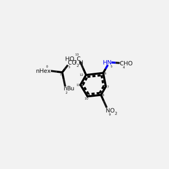 CCCCCCC(CCCC)C(=O)O.O=CNc1cc([N+](=O)[O-])ccc1C(=O)O